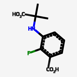 CC(C)(Nc1cccc(C(=O)O)c1F)C(=O)O